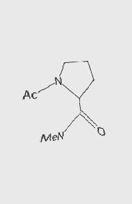 CNC(=O)C1CCCN1C(C)=O